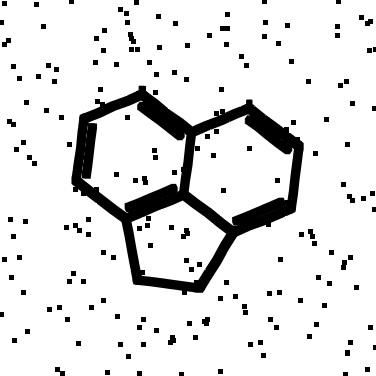 [c]1ccc2c3c(cc[c]c13)CC2